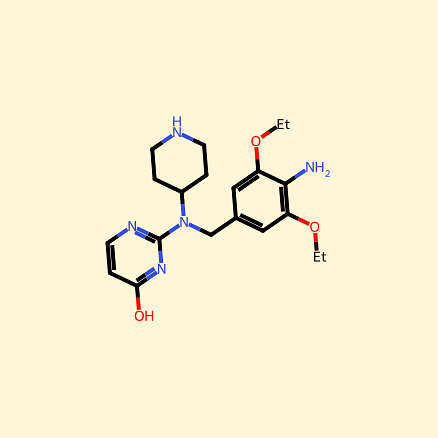 CCOc1cc(CN(c2nccc(O)n2)C2CCNCC2)cc(OCC)c1N